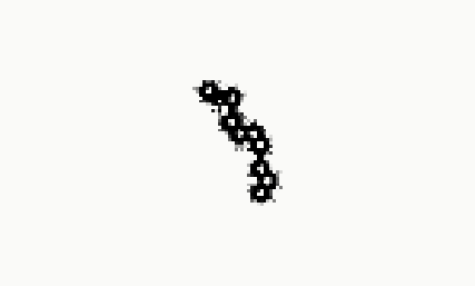 c1ccc2c(c1)ccc1cc(-c3ccc4ccc5c6cc(-c7cccc8c7sc7ccccc78)ccc6ccc5c4c3)ccc12